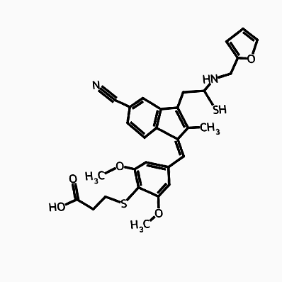 COc1cc(/C=C2/C(C)=C(CC(S)NCc3ccco3)c3cc(C#N)ccc32)cc(OC)c1SCCC(=O)O